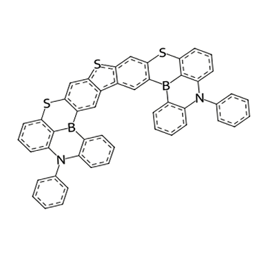 c1ccc(N2c3ccccc3B3c4cc5c(cc4Sc4cccc2c43)sc2cc3c(cc25)B2c4ccccc4N(c4ccccc4)c4cccc(c42)S3)cc1